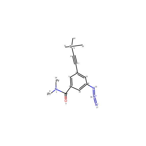 CC(C)N(C(=O)c1cc(C#C[Si](C)(C)C)cc(N=[N+]=[N-])c1)C(C)C